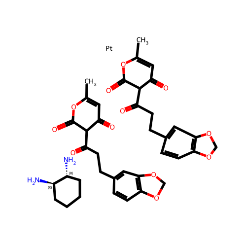 CC1=CC(=O)C(C(=O)CCc2ccc3c(c2)OCO3)C(=O)O1.CC1=CC(=O)C(C(=O)CCc2ccc3c(c2)OCO3)C(=O)O1.N[C@@H]1CCCC[C@H]1N.[Pt]